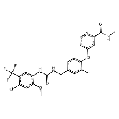 CNC(=O)c1cc(Oc2ccc(CNC(=O)Nc3cc(C(F)(F)F)c(Cl)cc3OC)cc2F)ccn1